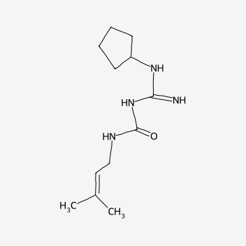 CC(C)=CCNC(=O)NC(=N)NC1CCCC1